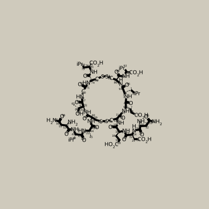 CC(C)C[C@@H]1NC(=O)[C@H](CCC(=O)O)NC(=O)[C@@H](NC(=O)[C@H](CCC(=O)O)NC(=O)[C@H](CC(=O)O)NC(=O)[C@H](N)CC(N)=O)CSSC[C@H](NC(=O)[C@H](C)NC(=O)[C@@H](NC(=O)[C@@H](N)CC(N)=O)C(C)C)C(=O)N[C@@H]([C@@H](C)O)C(=O)NCC(=O)N[C@H](C(=O)N[C@H](CC(C)C)C(=O)O)CSSC[C@@H](C(=O)N[C@H](C(=O)O)C(C)C)NC1=O